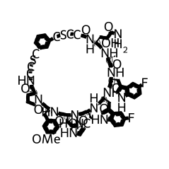 COc1ccc(C[C@@H]2NC(=O)[C@H](Cc3ncc[nH]3)NC(=O)[C@H](CC(=O)O)NC(=O)[C@H](Cc3c[nH]c4ccc(F)cc34)NC(=O)[C@H](Cc3c[nH]c4ccc(F)cc34)NC(=O)[C@@H](C)NC(O)[C@H](CCC(N)=O)NC(=O)CCSCc3cccc(c3)CSCCNC(=O)[C@]3(C)CCCN3C2=O)cc1